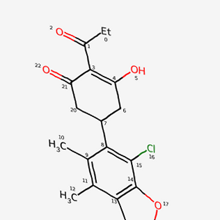 CCC(=O)C1=C(O)CC(c2c(C)c(C)c3c(c2Cl)OCC3)CC1=O